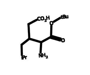 CC(C)CC(CC(=O)O)C(N)C(=O)OC(C)(C)C